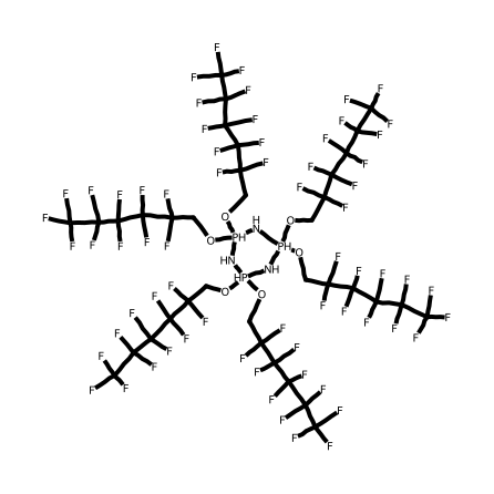 FC(F)(F)C(F)(F)C(F)(F)C(F)(F)C(F)(F)CO[PH]1(OCC(F)(F)C(F)(F)C(F)(F)C(F)(F)C(F)(F)F)N[PH](OCC(F)(F)C(F)(F)C(F)(F)C(F)(F)C(F)(F)F)(OCC(F)(F)C(F)(F)C(F)(F)C(F)(F)C(F)(F)F)N[PH](OCC(F)(F)C(F)(F)C(F)(F)C(F)(F)C(F)(F)F)(OCC(F)(F)C(F)(F)C(F)(F)C(F)(F)C(F)(F)F)N1